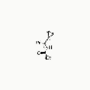 CCC(=O)NC(C(C)C)C1CC1